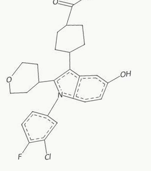 O=C(O)C1CCC(c2c(C3CCOCC3)n(-c3ccc(F)c(Cl)c3)c3ccc(O)cc23)CC1